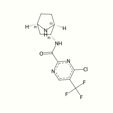 O=C(N[C@@H]1C[C@H]2CC[C@@H]1N2)c1ncc(C(F)(F)F)c(Cl)n1